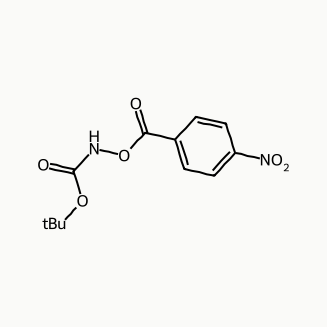 CC(C)(C)OC(=O)NOC(=O)c1ccc([N+](=O)[O-])cc1